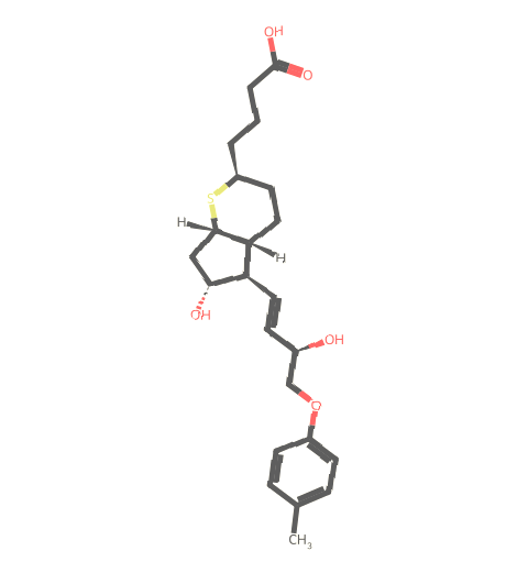 Cc1ccc(OC[C@H](O)/C=C/[C@@H]2[C@H]3CC[C@H](CCCC(=O)O)S[C@H]3C[C@H]2O)cc1